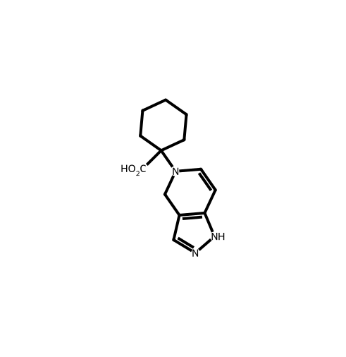 O=C(O)C1(N2C=Cc3[nH]ncc3C2)CCCCC1